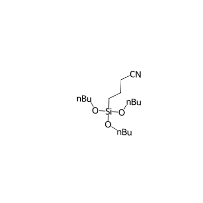 CCCCO[Si](CCCC#N)(OCCCC)OCCCC